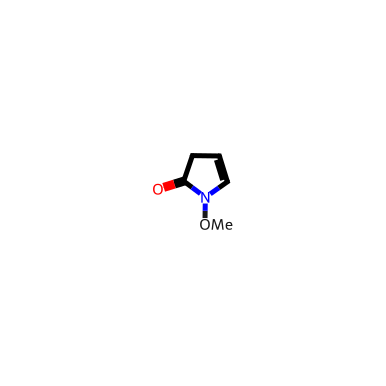 CON1C=CCC1=O